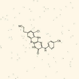 N#CCCc1cc(Cl)c(Nc2n[nH]c(=O)c(Nc3ccc(C#N)cc3)n2)c(Br)c1